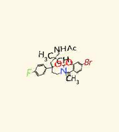 CC(=O)NCC(C)(C)CC1(c2ccc(F)cc2)CCN([C@@H](C)c2ccc(Br)cc2)C(=O)O1